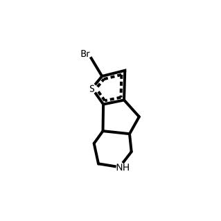 Brc1cc2c(s1)C1CCNCC1C2